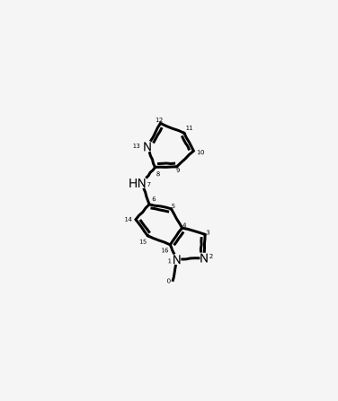 Cn1ncc2cc(Nc3ccccn3)ccc21